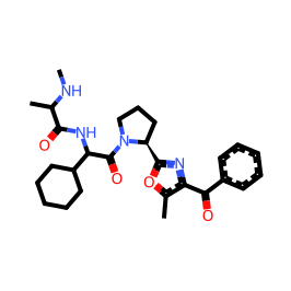 CNC(C)C(=O)NC(C(=O)N1CCC[C@H]1c1nc(C(=O)c2ccccc2)c(C)o1)C1CCCCC1